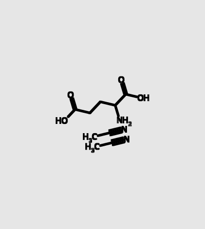 CC#N.CC#N.NC(CCC(=O)O)C(=O)O